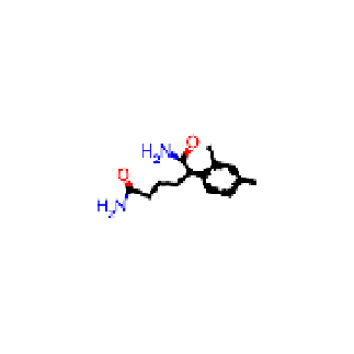 Cc1ccc(C(CCCC(N)=O)C(N)=O)c(C)c1